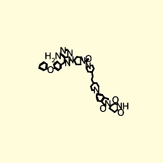 Nc1ncnc2c1c(-c1ccc(Oc3ccccc3)cc1)nn2C1CCN(C(=O)N2CCC(CCC3CCN(c4ccc5c(c4)CN(C4CCC(=O)NC4=O)C5=O)CC3)CC2)CC1